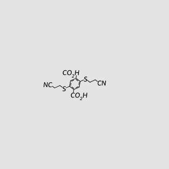 N#CCCSc1cc(C(=O)O)c(SCCC#N)cc1C(=O)O